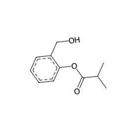 CC(C)C(=O)Oc1ccccc1CO